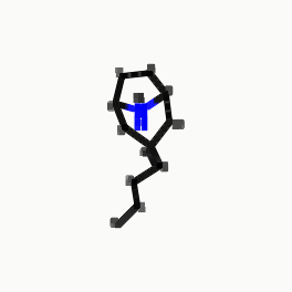 CCCC=C1CC2CCC(C1)N2